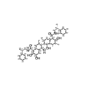 Cc1cc2c(O)c(-c3c(C)cc4c(C(=O)NC[C@H](C)c5ccccc5)c(O)c(O)cc4c3O)c(C)cc2c(C(=O)NC[C@H](C)c2ccccc2)c1O